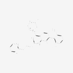 C[C@@H]1CN[C@@H](C)CN1c1nc(OCCc2ncccn2)nc2c(F)c(-c3c(O)cccc3F)c(Cl)cc12